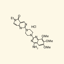 CCn1ccc2nc(N3CCN(c4nc(N)c5cc(OC)c(OC)c(OC)c5n4)CC3)ncc2c1=O.Cl